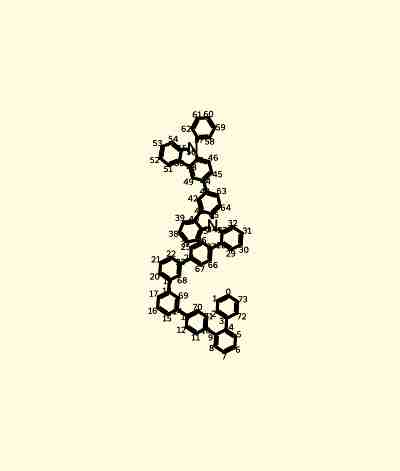 c1ccc(-c2ccccc2-c2ccc(-c3cccc(-c4cccc(-c5ccc(-c6ccccc6-n6c7ccccc7c7cc(-c8ccc9c(c8)c8ccccc8n9-c8ccccc8)ccc76)cc5)c4)c3)cc2)cc1